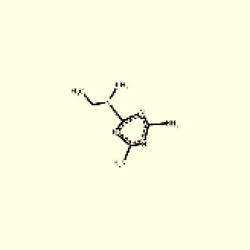 CCN(C)c1nc(N)nc(N)n1